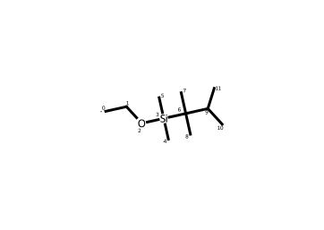 [CH2]CO[Si](C)(C)C(C)(C)C(C)C